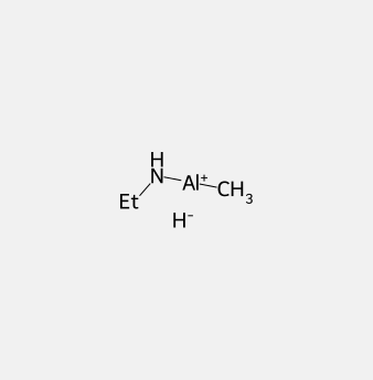 CC[NH][Al+][CH3].[H-]